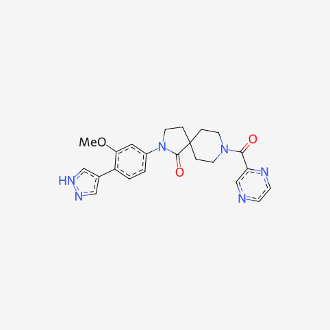 COc1cc(N2CCC3(CCN(C(=O)c4cnccn4)CC3)C2=O)ccc1-c1cn[nH]c1